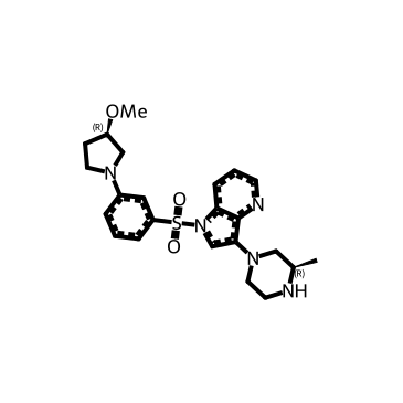 CO[C@@H]1CCN(c2cccc(S(=O)(=O)n3cc(N4CCN[C@H](C)C4)c4ncccc43)c2)C1